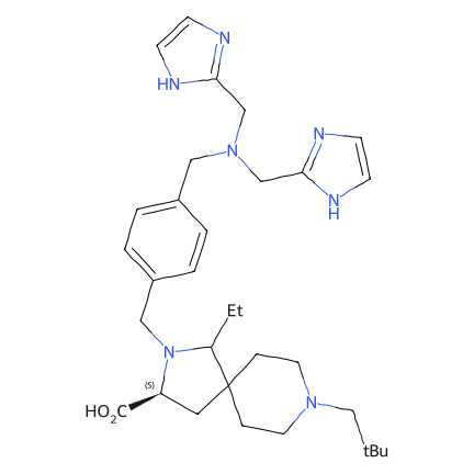 CCC1N(Cc2ccc(CN(Cc3ncc[nH]3)Cc3ncc[nH]3)cc2)[C@H](C(=O)O)CC12CCN(CC(C)(C)C)CC2